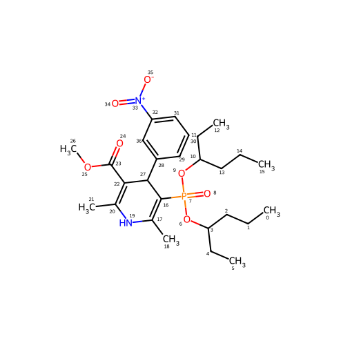 CCCC(CC)OP(=O)(OC(CC)CCC)C1=C(C)NC(C)=C(C(=O)OC)C1c1cccc([N+](=O)[O-])c1